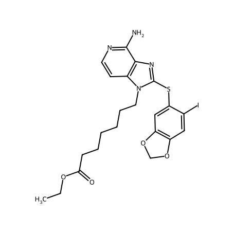 CCOC(=O)CCCCCCn1c(Sc2cc3c(cc2I)OCO3)nc2c(N)nccc21